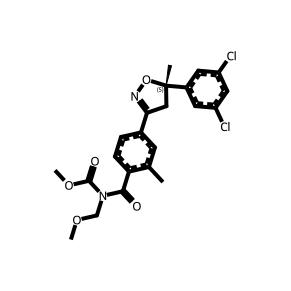 COCN(C(=O)OC)C(=O)c1ccc(C2=NO[C@](C)(c3cc(Cl)cc(Cl)c3)C2)cc1C